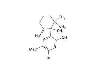 C=C1CCCC(C)(C)C1(C)c1cc(OC)c(Br)cc1O